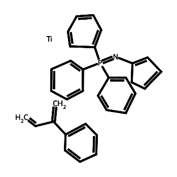 C1=CCC(N=P(c2ccccc2)(c2ccccc2)c2ccccc2)=C1.C=CC(=C)c1ccccc1.[Ti]